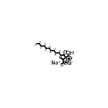 CCCCCCCCCCCC(=O)C(CO)(C(C)CC)S(=O)(=O)[O-].[Na+]